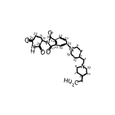 O=C(O)CC1CCN(CC2CCN(c3ccc4c(c3)C(=O)N(C3CCC(=O)NC3=O)C4=O)CC2)CC1